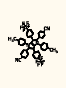 Cc1ccc(-n2c(-c3ccc(C#N)cc3)c(-c3ccc(S(F)(F)(F)(F)F)cc3)c3c2c(-c2ccc(S(F)(F)(F)(F)F)cc2)c(-c2ccc(C#N)cc2)n3-c2ccc(C)cc2)cc1